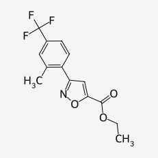 CCOC(=O)c1cc(-c2ccc(C(F)(F)F)cc2C)no1